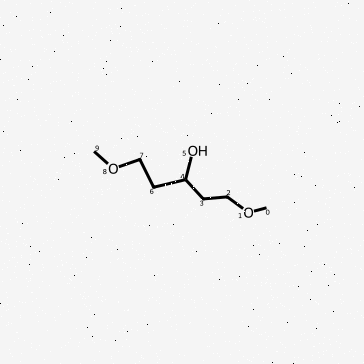 COCCC(O)CCOC